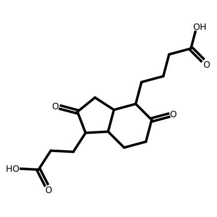 O=C(O)CCCC1C(=O)CCC2C(CCC(=O)O)C(=O)CC12